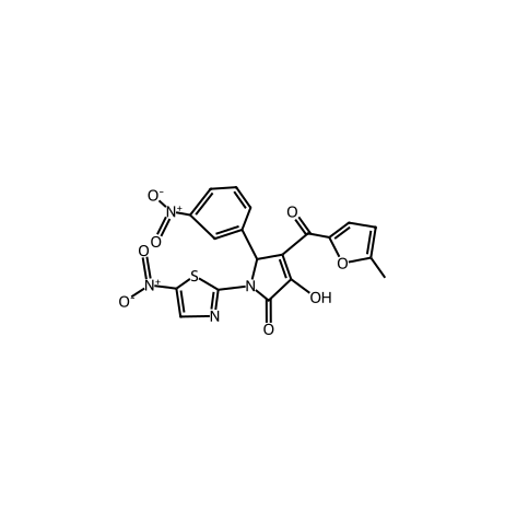 Cc1ccc(C(=O)C2=C(O)C(=O)N(c3ncc([N+](=O)[O-])s3)C2c2cccc([N+](=O)[O-])c2)o1